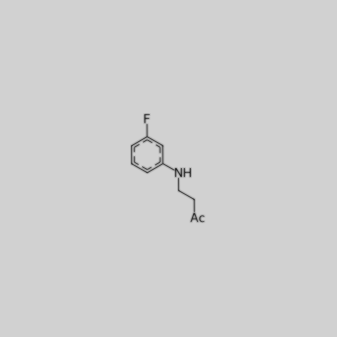 CC(=O)CCNc1cccc(F)c1